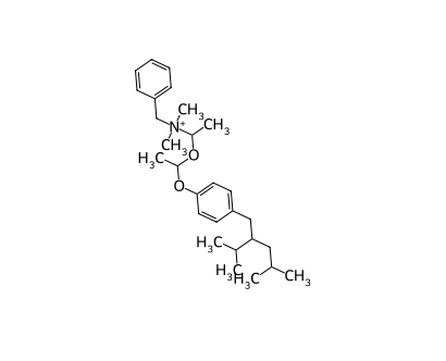 CC(C)CC(Cc1ccc(OC(C)OC(C)[N+](C)(C)Cc2ccccc2)cc1)C(C)C